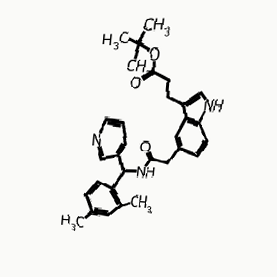 Cc1ccc(C(NC(=O)Cc2ccc3[nH]cc(CCC(=O)OC(C)(C)C)c3c2)c2cccnc2)c(C)c1